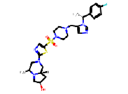 CC1CN(c2ncc(S(=O)(=O)N3CCN(Cc4cncn4[C@H](C)c4ccc(F)cc4)CC3)s2)C[C@@H]2C[C@@H](O)CN12